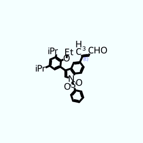 CCOc1c(-c2cn(S(=O)(=O)c3ccccc3)c3ccc(/C(C)=C/C=O)cc23)cc(C(C)C)cc1C(C)C